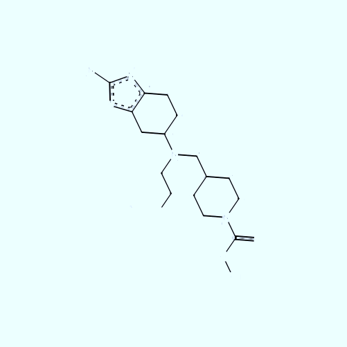 CCCN(CC1CCN(C(=O)OC)CC1)C1CCc2nc(N)sc2C1.Cl